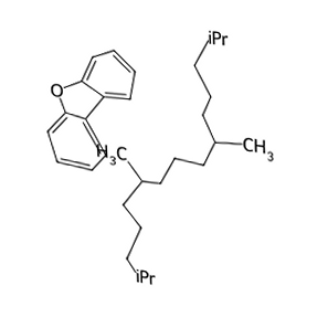 CC(C)CCCC(C)CCCC(C)CCCC(C)C.c1ccc2c(c1)oc1ccccc12